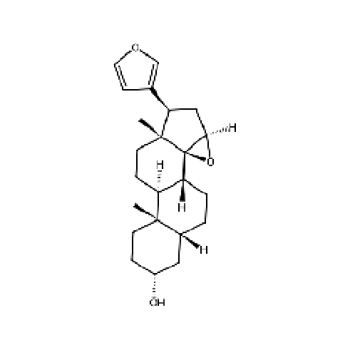 C[C@]12CC[C@@H](O)C[C@H]1CC[C@@H]1[C@@H]2CC[C@]2(C)[C@@H](c3ccoc3)C[C@H]3O[C@]132